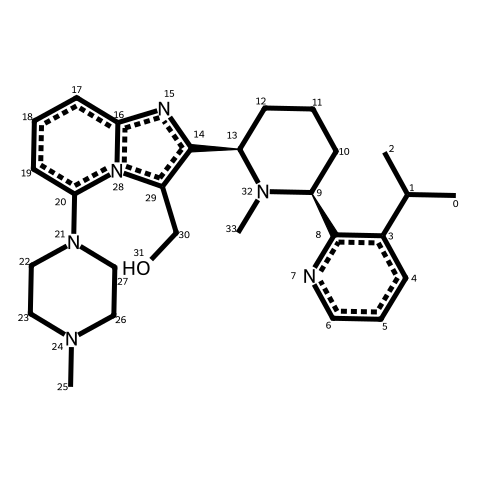 CC(C)c1cccnc1[C@@H]1CCC[C@H](c2nc3cccc(N4CCN(C)CC4)n3c2CO)N1C